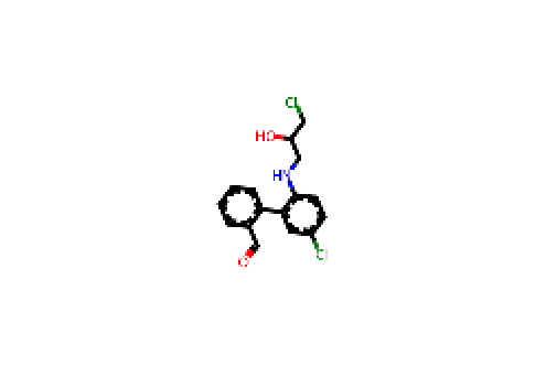 O=Cc1ccccc1-c1cc(Cl)ccc1NCC(O)CCl